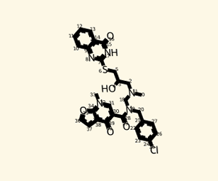 CN(CC(O)CSc1nc2ccccc2c(=O)[nH]1)CN(Cc1ccc(Cl)cc1)C(=O)c1cn(C)c2occc2c1=O